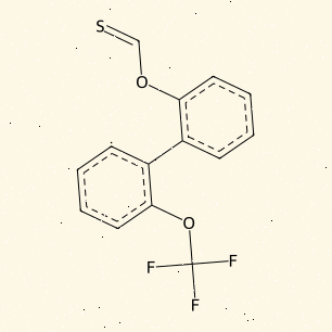 FC(F)(F)Oc1ccc[c]c1-c1ccccc1OC=S